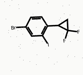 FC1(F)CC1c1ccc(Br)cc1I